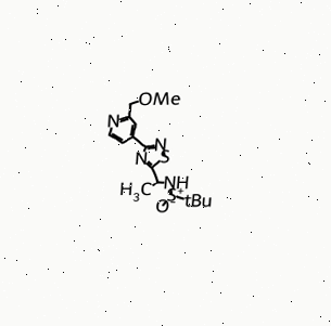 COCc1cc(-c2nsc([C@H](C)N[S+]([O-])C(C)(C)C)n2)ccn1